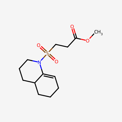 COC(=O)CCS(=O)(=O)N1CCCC2CCCC=C21